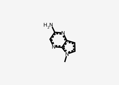 Cn1ccc2nc(N)cnc21